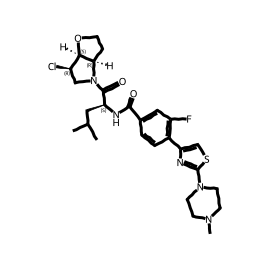 CC(C)C[C@H](NC(=O)c1ccc(-c2csc(N3CCN(C)CC3)n2)c(F)c1)C(=O)N1C[C@@H](Cl)[C@H]2OCC[C@H]21